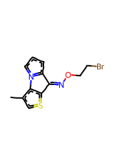 Cc1csc2c1-n1cccc1/C2=N\OCCBr